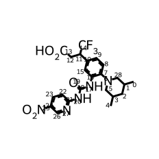 CC1CC(C)CN(c2ccc(C(CC(=O)O)C(F)(F)F)cc2NC(=O)Nc2ccc([N+](=O)[O-])cn2)C1